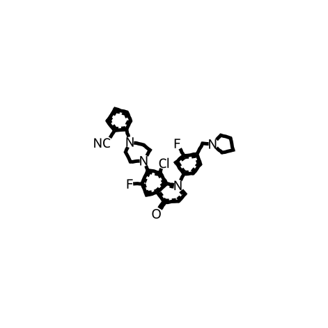 N#Cc1ccccc1N1CCN(c2c(F)cc3c(=O)ccn(-c4ccc(CN5CCCC5)c(F)c4)c3c2Cl)CC1